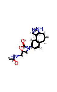 CC(=O)NCC1CN(c2ccc3c(c2)-c2cn[nH]c2CCC3)C(=O)O1